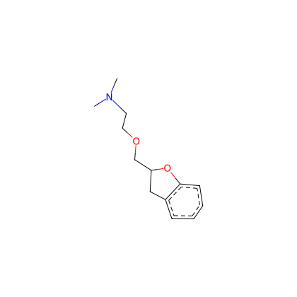 CN(C)CCOCC1Cc2ccccc2O1